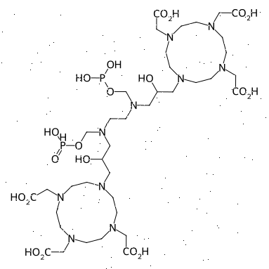 O=C(O)CN1CCN(CC(=O)O)CCN(CC(O)CN(CCN(CO[PH](=O)O)CC(O)CN2CCN(CC(=O)O)CCN(CC(=O)O)CCN(CC(=O)O)CC2)COP(O)O)CCN(CC(=O)O)CC1